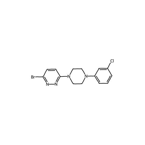 Clc1cccc(N2CCN(c3ccc(Br)nn3)CC2)c1